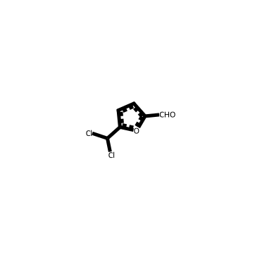 O=Cc1ccc(C(Cl)Cl)o1